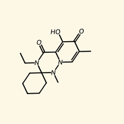 CCN1C(=O)c2c(O)c(=O)c(C)cn2N(C)C12CCCCC2